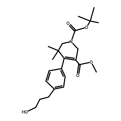 COC(=O)C1=C(c2ccc(CCCO)cc2)C(C)(C)CN(C(=O)OC(C)(C)C)C1